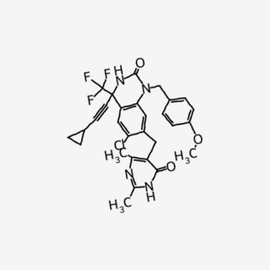 COc1ccc(CN2C(=O)NC(C#CC3CC3)(C(F)(F)F)c3cc(Cl)c(Cc4c(C)nc(C)[nH]c4=O)cc32)cc1